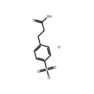 O=C(O)CCc1ccc(S(=O)(=O)[O-])cc1.[Li+]